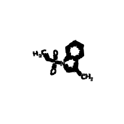 C=CS(=O)(=O)n1cc(C)c2ccccc21